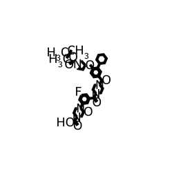 CC(C)(C)OC(=O)N1CCC(Oc2ccc(C(=O)N3CCN(C(=O)c4cc(F)cc(N5CCN(C(=O)O)CC5=O)c4)CC3)cc2C2CCCCC2)C1